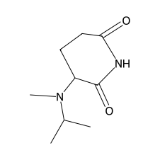 CC(C)N(C)C1CCC(=O)NC1=O